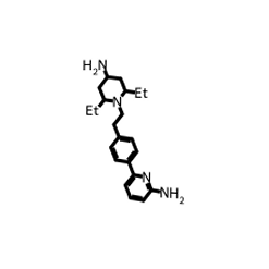 CCC1CC(N)CC(CC)N1CCc1ccc(-c2cccc(N)n2)cc1